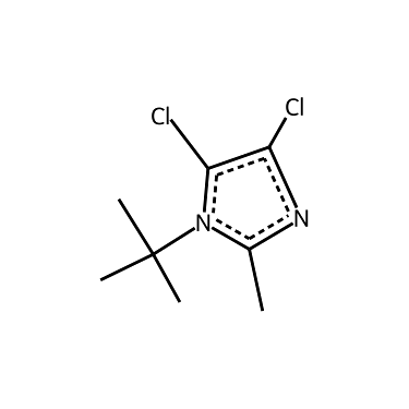 Cc1nc(Cl)c(Cl)n1C(C)(C)C